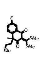 CSC(SC)=C1C(=O)c2cc(F)ccc2[C@@](C)(CCC(C)(C)C)C1=O